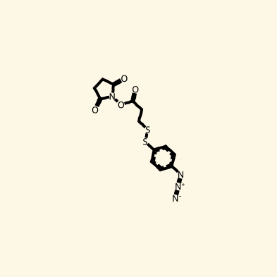 [N-]=[N+]=Nc1ccc(SSCCC(=O)ON2C(=O)CCC2=O)cc1